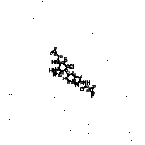 O=C(Nc1cc2cc(-c3c(Cl)c(F)c(NCC4CC4)c4[nH]ncc34)ccn2n1)[C@@H]1C[C@@H]1F